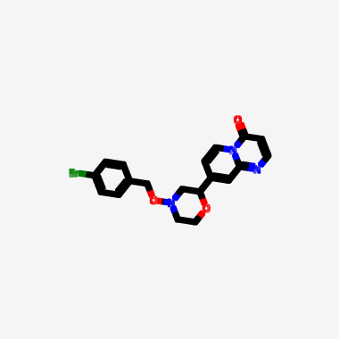 O=c1ccnc2cc(C3CN(OCc4ccc(Br)cc4)CCO3)ccn12